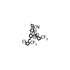 N#CC1(N2CCN3c4ccc(/C=C/c5c(Cl)cccc5C(F)(F)F)cc4N(S(=O)(=O)c4cccc(C(F)(F)F)c4)C[C@@H]3C2)CCC1